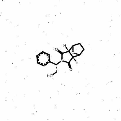 O=C1[C@@H]2C3CCC(O3)[C@@H]2C(=O)N1[C@H](CO)c1ccccc1